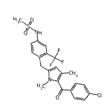 Cc1cc(Cc2ccc(NS(C)(=O)=O)cc2C(F)(F)F)n(C)c1C(=O)c1ccc(Cl)cc1